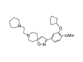 COc1ccc(C2=NOC3(CCN(CCN4CCCCC4)CC3)C2)cc1OC1CCCC1